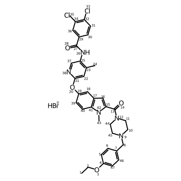 Br.CCOc1ccc(CN2CCN(C(=O)c3cc4cc(Oc5cc(C)c(NC(=O)c6ccc(Cl)c(Cl)c6)cn5)ccc4n3C)CC2)cc1